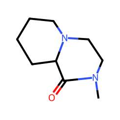 CN1CCN2CCCCC2C1=O